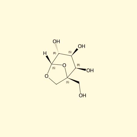 OC[C@@]12CO[C@@H](O1)[C@H](O)[C@@H](O)[C@H]2O